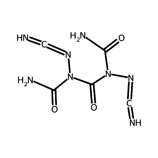 N=C=NN(C(N)=O)C(=O)N(N=C=N)C(N)=O